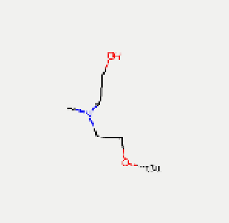 CN(CCO)CCOC(C)(C)C